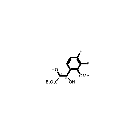 CCOC(=O)[C@H](O)[C@@H](O)c1ccc(F)c(F)c1OC